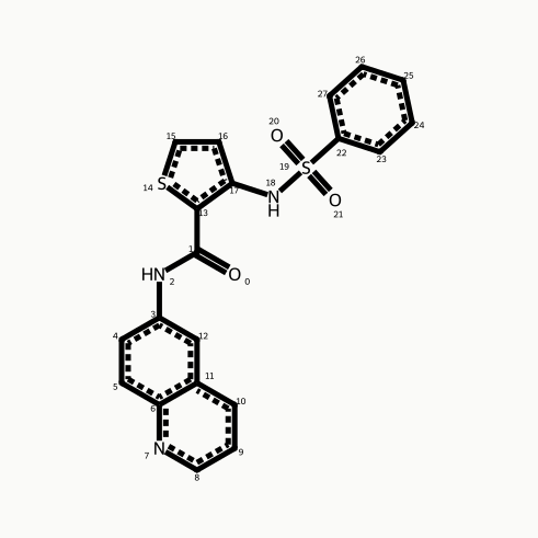 O=C(Nc1ccc2ncccc2c1)c1sccc1NS(=O)(=O)c1ccccc1